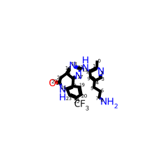 Cc1ncc(CCCN)cc1Nc1ncc2c(n1)-c1ccc(C(F)(F)F)cc1NC(=O)C2